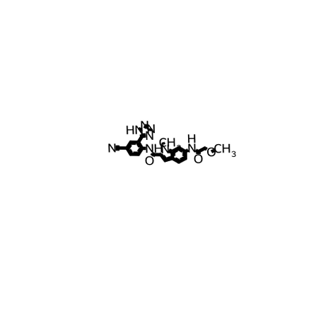 COCC(=O)Nc1ccc2cc(C(=O)Nc3ccc(C#N)cc3-c3nnn[nH]3)n(C)c2c1